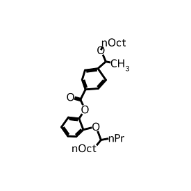 CCCCCCCCOC(C)c1ccc(C(=O)Oc2ccccc2OC(CCC)CCCCCCCC)cc1